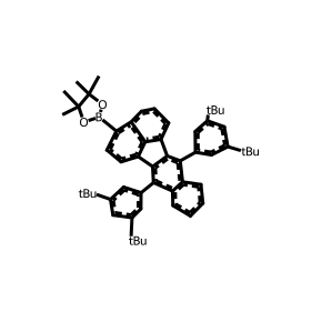 CC(C)(C)c1cc(-c2c3c(c(-c4cc(C(C)(C)C)cc(C(C)(C)C)c4)c4ccccc24)-c2ccc(B4OC(C)(C)C(C)(C)O4)c4cccc-3c24)cc(C(C)(C)C)c1